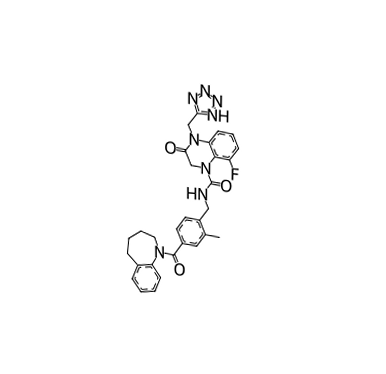 Cc1cc(C(=O)N2CCCCc3ccccc32)ccc1CNC(=O)N1CC(=O)N(Cc2nnn[nH]2)c2cccc(F)c21